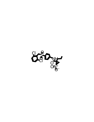 CCCC1(C(=O)Nc2ccc(S(=O)(=O)Cc3c(Cl)cccc3Cl)cc2)CC1[N+](=O)[O-]